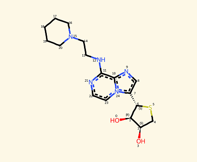 O[C@@H]1[C@H](O)CS[C@H]1c1cnc2c(NCCN3CCCCC3)nccn12